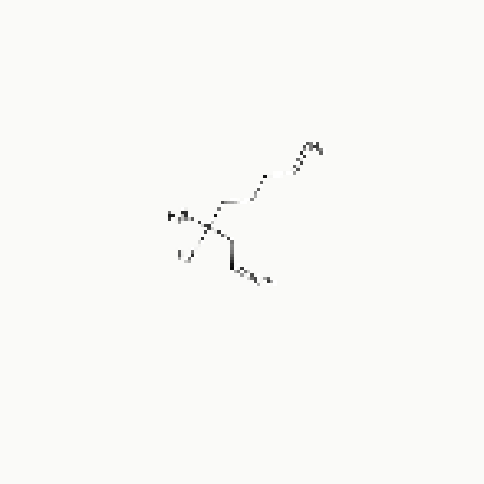 C=CCCCC(C)(N)CC=C